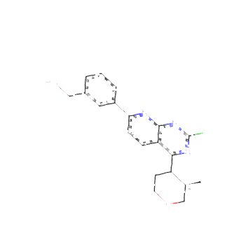 C[C@H]1COCCC1c1nc(Cl)nc2nc(-c3cccc(CO)c3)ccc12